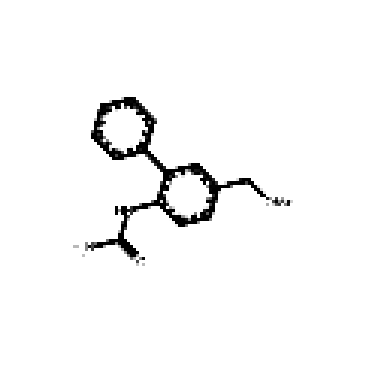 COCc1ccc(NC(N)=O)c(-c2ccccc2)c1